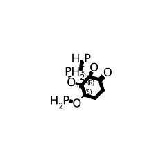 CC[C@]1(OP)C(=O)CC[C@H](OP)[C@H]1OP